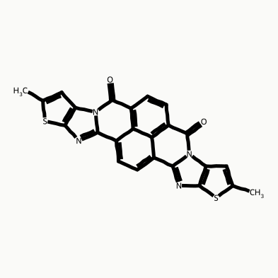 Cc1cc2c(nc3c4ccc5c6c(ccc(c(=O)n23)c46)c(=O)n2c3cc(C)sc3nc52)s1